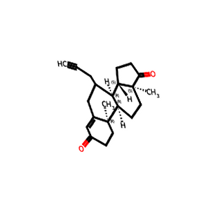 C#CCC1CC2=CC(=O)CC[C@]2(C)[C@@H]2CC[C@]3(C)C(=O)CC[C@H]3[C@H]12